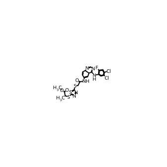 COC(=O)C(C)Sc1nnc(SCC(=O)NC2=CC3C(Nc4cc(Cl)c(Cl)cc4F)=NC=NC3C=C2)s1